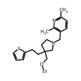 CCOCC1(CCc2cccs2)CCN(Cc2ccc(C)nc2C)C1